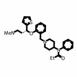 CCC(=O)N(c1ccccc1)C1CCN(Cc2ccccc2O[C@H](CCNC)c2cccs2)CC1